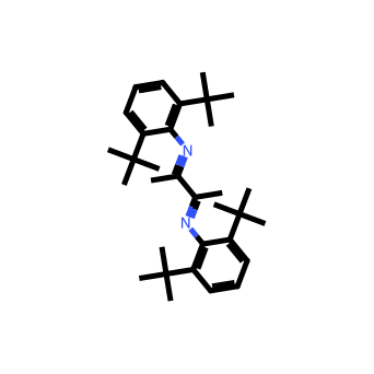 CC(=N\c1c(C(C)(C)C)cccc1C(C)(C)C)/C(C)=N/c1c(C(C)(C)C)cccc1C(C)(C)C